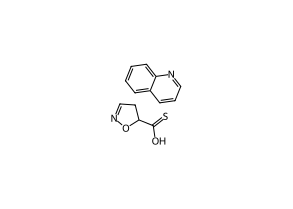 OC(=S)C1CC=NO1.c1ccc2ncccc2c1